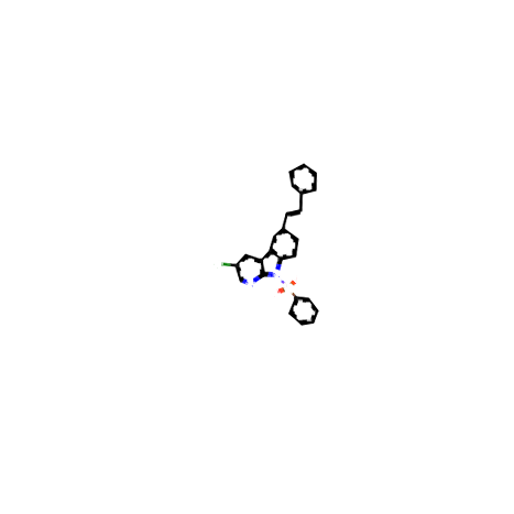 O=S(=O)(c1ccccc1)n1c2ccc(C=Cc3ccccc3)cc2c2cc(Cl)cnc21